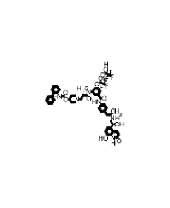 C[C@@H](Cc1ccc(NC(=O)c2cccc(N(C)C(=O)CCN3CCC(OC(=O)Nc4ccccc4-c4ccccc4)CC3)c2)cc1)NC[C@H](O)c1ccc(O)c2[nH]c(=O)ccc12.O=C(O)C(F)(F)F.O=C(O)C(F)(F)F